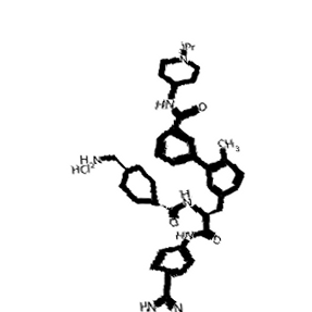 Cc1ccc(C[C@H](NC(=O)[C@H]2CC[C@H](CN)CC2)C(=O)Nc2ccc(-c3nnn[nH]3)cc2)cc1-c1cccc(C(=O)NC2CCN(C(C)C)CC2)c1.Cl